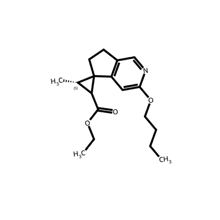 CCCCOc1cc2c(cn1)CCC21C(C(=O)OCC)[C@@H]1C